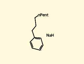 CCCCCCCCc1cc[c]cc1.[NaH]